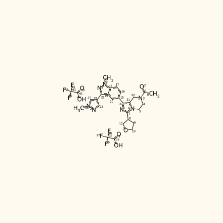 CC(=O)N1CCn2c(C3CCOC3)nc(-c3ccc4c(c3)c(-c3cnn(C)c3)nn4C)c2C1.O=C(O)C(F)(F)F.O=C(O)C(F)(F)F